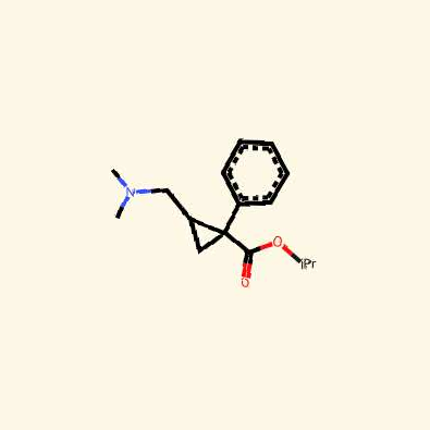 CC(C)OC(=O)C1(c2ccccc2)CC1CN(C)C